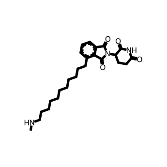 CNCCCCCCCCCCCc1cccc2c1C(=O)N(C1CCC(=O)NC1=O)C2=O